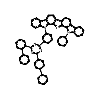 c1ccc(-c2ccc(-c3nc(-c4cccc(-n5c6ccccc6c6ccc7c8ccc9c%10ccccc%10n(-c%10ccccc%10)c9c8oc7c65)c4)nc(-c4ccccc4-c4ccccc4)n3)cc2)cc1